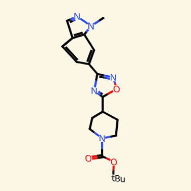 Cn1ncc2ccc(-c3noc(C4CCN(C(=O)OC(C)(C)C)CC4)n3)cc21